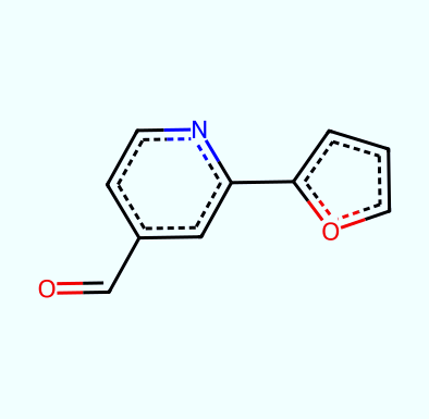 O=Cc1ccnc(-c2ccco2)c1